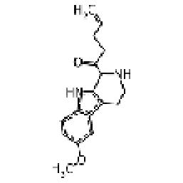 C=CCCC(=O)C1NCCc2c1[nH]c1ccc(OC)cc21